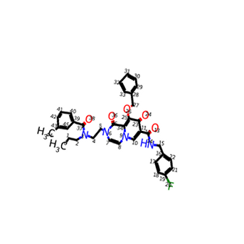 CCCN(CCn1ccn2cc(C(=O)NCc3ccc(F)cc3)c(=O)c(OCc3ccccc3)c2c1=O)C(=O)c1cccc(C)c1